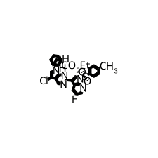 CCOC(=O)[C@H]1C2CCC(CC2)[C@@H]1n1cc(Cl)c2cnc(-c3cn(S(=O)(=O)c4ccc(C)cc4)c4ncc(F)cc34)nc21